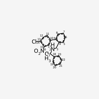 C[C@H](NCc1ccccc1-c1ccc(Cl)c([N+](=O)[O-])c1)c1ccccc1